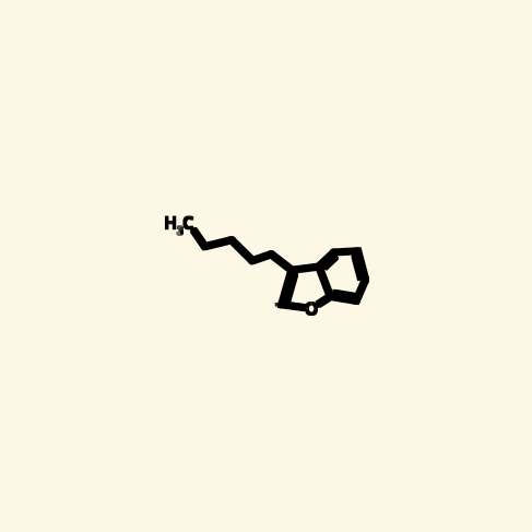 CCCCCc1[c]oc2ccccc12